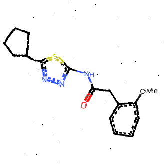 COc1ccccc1CC(=O)Nc1nnc(C2CCCC2)s1